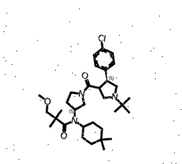 COCC(C)(C)C(=O)N(C1CCC(C)(C)CC1)[C@H]1CCN(C(=O)C2CN(C(C)(C)C)C[C@@H]2c2ccc(Cl)cc2)C1